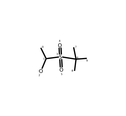 CC([O])S(=O)(=O)C(C)(C)C